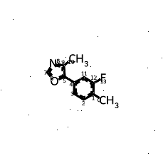 Cc1ccc(-c2ocnc2C)cc1F